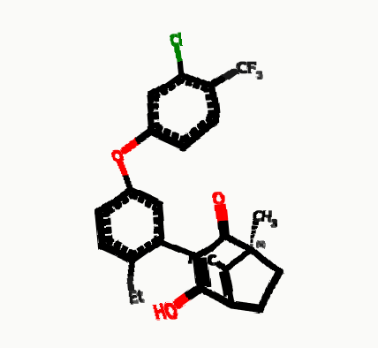 CCc1ccc(Oc2ccc(C(F)(F)F)c(Cl)c2)cc1C1=C(O)C2=C(C)[C@](C)(CC2)C1=O